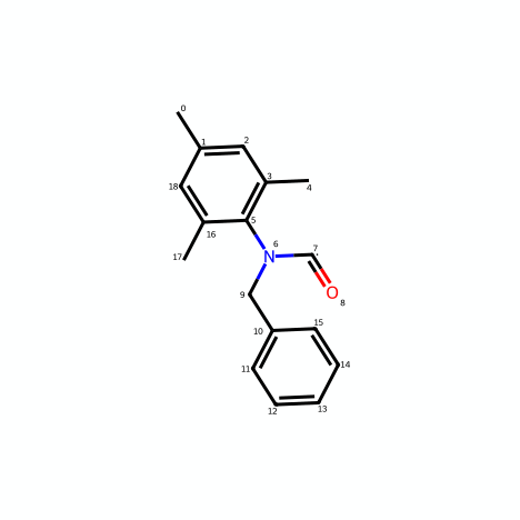 Cc1cc(C)c(N([C]=O)Cc2ccccc2)c(C)c1